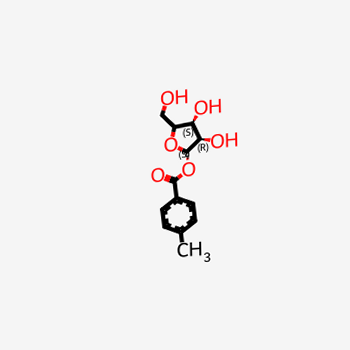 Cc1ccc(C(=O)O[C@@H]2OC(CO)[C@@H](O)[C@H]2O)cc1